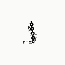 CCCCCCOc1ccc(C2CCC(c3ccc(-c4ccc(C)cc4)c(F)c3F)CS2)c(F)c1F